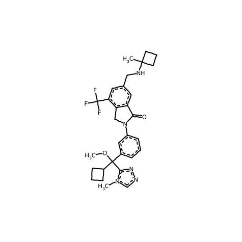 COC(c1cccc(N2Cc3c(cc(CNC4(C)CCC4)cc3C(F)(F)F)C2=O)c1)(c1nncn1C)C1CCC1